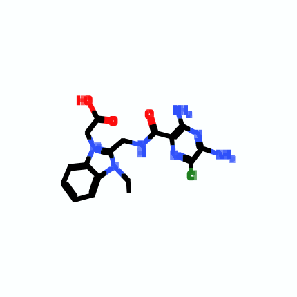 CCn1c(CNC(=O)c2nc(Cl)c(N)nc2N)[n+](CC(=O)O)c2ccccc21